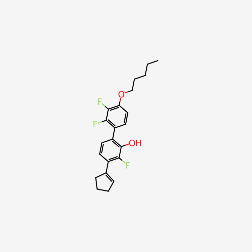 CCCCCOc1ccc(-c2ccc(C3=CCCC3)c(F)c2O)c(F)c1F